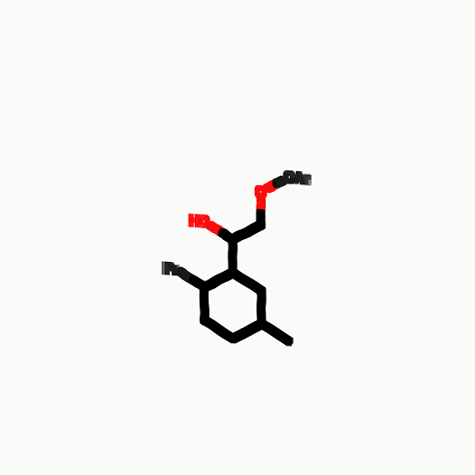 CC(=O)OOCC(O)C1CC(C)CCC1C(C)C